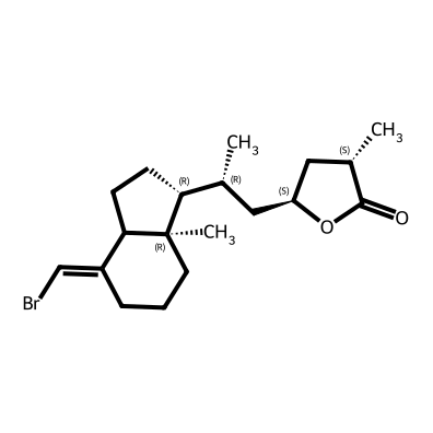 C[C@H](C[C@H]1C[C@H](C)C(=O)O1)[C@H]1CCC2C(=CBr)CCC[C@@]21C